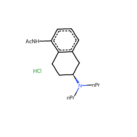 CCCN(CCC)[C@H]1CCc2c(cccc2NC(C)=O)C1.Cl